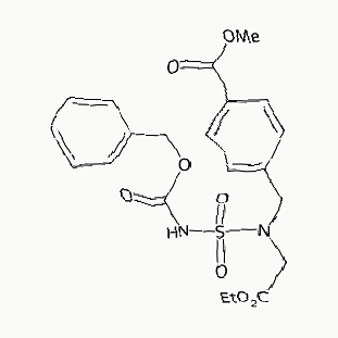 CCOC(=O)CN(Cc1ccc(C(=O)OC)cc1)S(=O)(=O)NC(=O)OCc1ccccc1